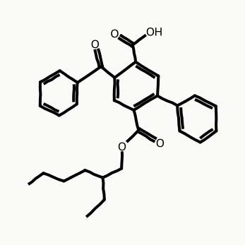 CCCCC(CC)COC(=O)c1cc(C(=O)c2ccccc2)c(C(=O)O)cc1-c1ccccc1